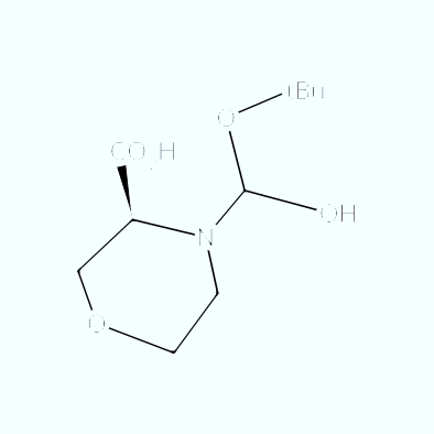 CC(C)(C)OC(O)N1CCOC[C@H]1C(=O)O